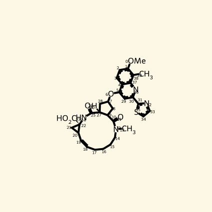 COc1ccc2c(OC3CC4C(=O)N(C)CCCC/C=C\C5C[C@@]5(C(=O)O)NC(=O)[C@@H]4C3)cc(-c3nccs3)nc2c1C